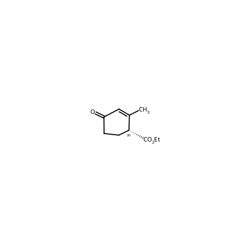 CCOC(=O)[C@@H]1CCC(=O)C=C1C